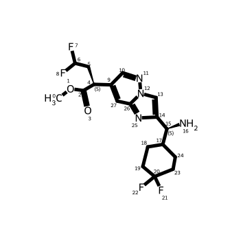 COC(=O)[C@@H](CC(F)F)c1cnn2cc([C@@H](N)C3CCC(F)(F)CC3)nc2c1